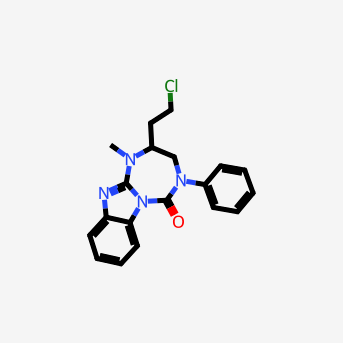 CN1c2nc3ccccc3n2C(=O)N(c2ccccc2)CC1CCCl